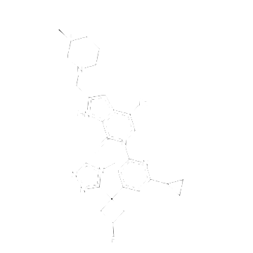 CCc1cn(-c2cc(C3(c4nncn4C)CC(F)C3)cc(C3CC3)n2)c(=O)c2[nH]c(CN3CCC[C@H](C)C3)cc12